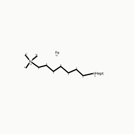 CCCCCCCCCCCCCC[N+](C)(C)C.[Fe]